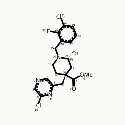 COC(=O)[C@]1(Cc2cncc(Cl)n2)CCN(Cc2cccc(Cl)c2F)[C@H](C)C1